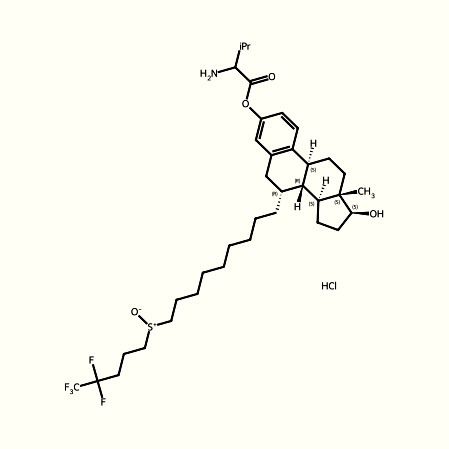 CC(C)C(N)C(=O)Oc1ccc2c(c1)C[C@@H](CCCCCCCCC[S+]([O-])CCCC(F)(F)C(F)(F)F)[C@@H]1[C@@H]2CC[C@]2(C)[C@@H](O)CC[C@@H]12.Cl